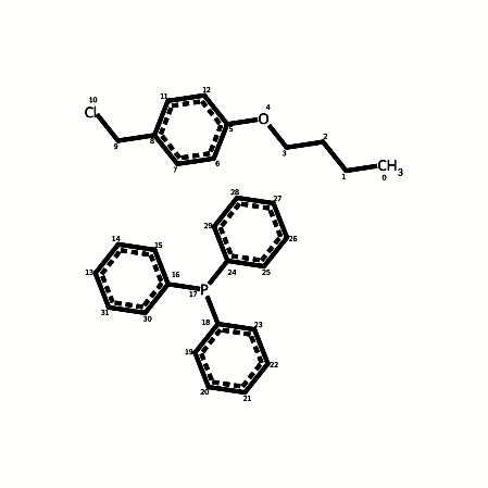 CCCCOc1ccc(CCl)cc1.c1ccc(P(c2ccccc2)c2ccccc2)cc1